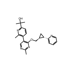 Cc1ncc(-c2ccc(C(C)(C)O)nc2C)c(OC[C@H]2C[C@@H]2c2ccccn2)n1